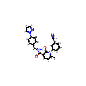 Cc1ccc(C(=O)NCc2ccc(-n3cccn3)cc2)c(=O)n1-c1cccc(C#N)c1